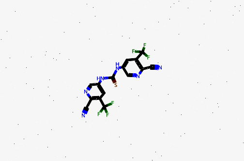 N#Cc1ncc(NC(=S)Nc2cnc(C#N)c(C(F)(F)F)c2)cc1C(F)(F)F